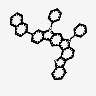 c1ccc(-n2c3cc(-c4ccc5ccccc5c4)ccc3c3cc4c5c6sc7ccccc7c6ccc5n(-c5ccccc5)c4cc32)cc1